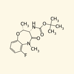 C[C@H]1Oc2cccc(F)c2N(C)C(=O)[C@H]1NC(=O)OC(C)(C)C